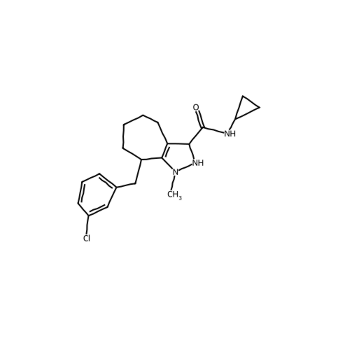 CN1NC(C(=O)NC2CC2)C2=C1C(Cc1cccc(Cl)c1)CCCC2